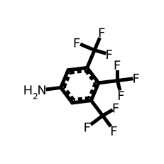 Nc1cc(C(F)(F)F)c(C(F)(F)F)c(C(F)(F)F)c1